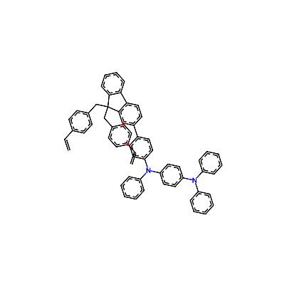 C=Cc1ccc(CC2(Cc3ccc(C=C)cc3)c3ccccc3-c3ccc(-c4ccc(N(c5ccccc5)c5ccc(N(c6ccccc6)c6ccccc6)cc5)cc4)cc32)cc1